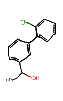 CCCC(O)c1cccc(-c2ccccc2Cl)c1